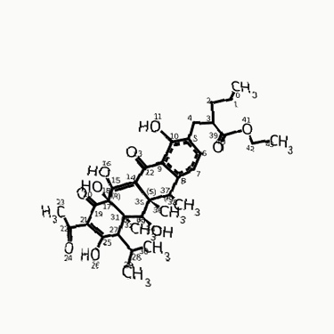 CCCC(Cc1ccc2c(c1O)C(=O)C1=C(O)[C@@]3(O)C(=O)C(C(C)=O)=C(O)C(C(C)C)[C@@]3(C)[C@H](O)[C@@]1(C)[C@@H]2C)C(=O)OCC